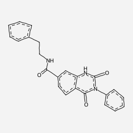 O=C(NCCc1ccccc1)c1ccc2c(=O)n(-c3ccccc3)c(=O)[nH]c2c1